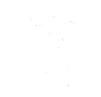 NC(=O)c1ccc([N+](=O)[O-])c(OCCc2cccc3ccccc23)c1